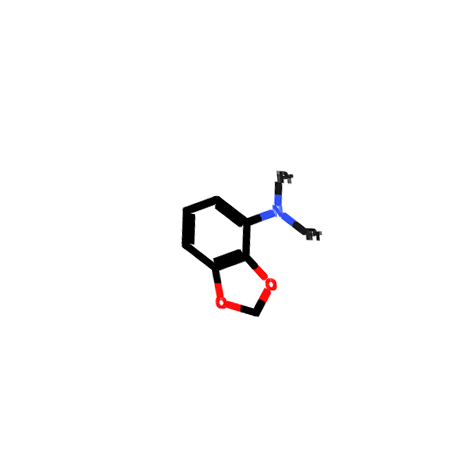 CC(C)N(c1cccc2c1OCO2)C(C)C